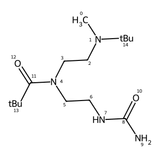 CN(CCN(CCNC(N)=O)C(=O)C(C)(C)C)C(C)(C)C